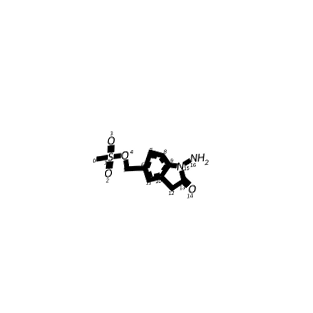 CS(=O)(=O)OCc1ccc2c(c1)CC(=O)N2N